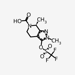 C[C@H]1c2nn(C)c(OS(=O)(=O)C(F)(F)F)c2CCN1C(=O)O